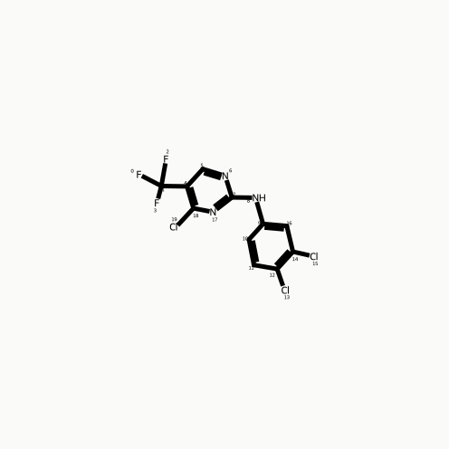 FC(F)(F)c1cnc(Nc2ccc(Cl)c(Cl)c2)nc1Cl